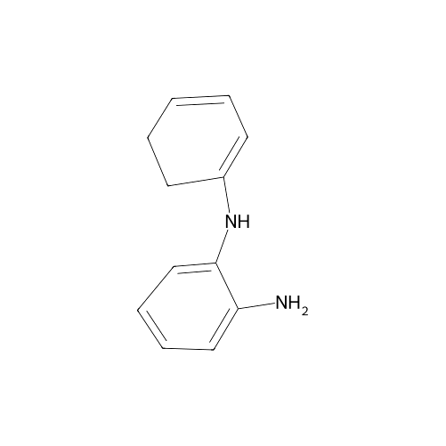 Nc1ccccc1NC1=CC=CCC1